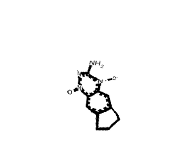 Nc1n[n+]([O-])c2cc3c(cc2[n+]1[O-])CCC3